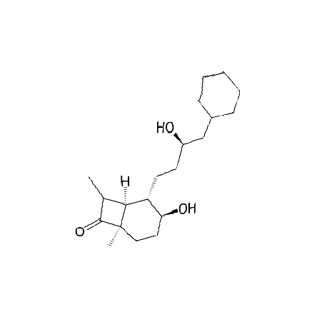 CC1C(=O)[C@]2(C)CC[C@H](O)[C@@H](CC[C@@H](O)CC3CCCCC3)[C@H]12